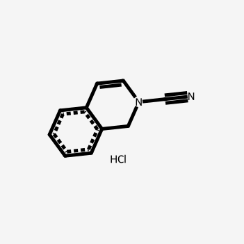 Cl.N#CN1C=Cc2ccccc2C1